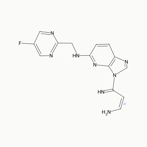 N=C(/C=C\N)n1cnc2ccc(NCc3ncc(F)cn3)nc21